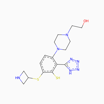 OCCN1CCN(c2ccc(SC3CNC3)c(S)c2-c2nnn[nH]2)CC1